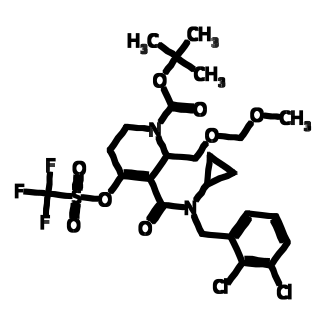 COCOCC1C(C(=O)N(Cc2cccc(Cl)c2Cl)C2CC2)=C(OS(=O)(=O)C(F)(F)F)CCN1C(=O)OC(C)(C)C